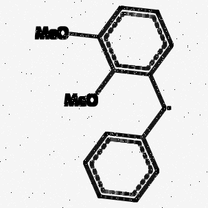 COc1cccc([CH]c2ccccc2)c1OC